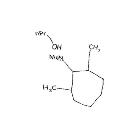 CCCO.CNC1C(C)CCCCC1C